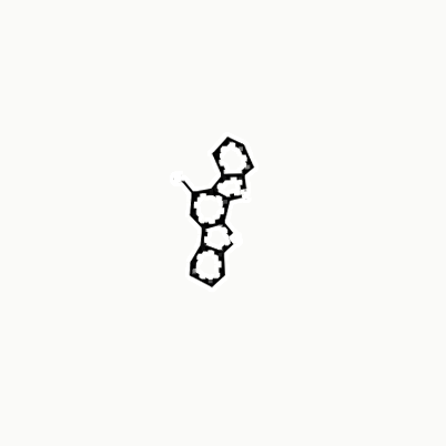 Clc1cc2c3ccccc3sc2c2sc3ccccc3c12